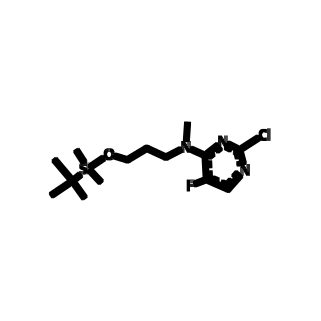 CN(CCCO[Si](C)(C)C(C)(C)C)c1nc(Cl)ncc1F